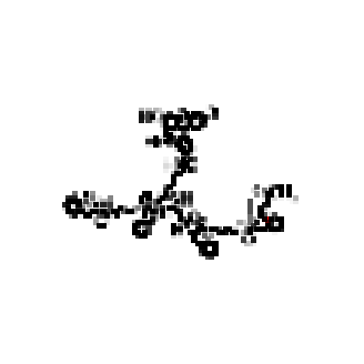 CNC(Cc1ccccc1)C(=O)OCCCCOC(=O)C(Cc1ccccc1)NC(=O)C(CCCCNC(=O)c1ccc(-c2c3ccc(=O)cc-3oc3cc(O)ccc23)c(C(=O)O)c1)NC(=O)CCC(=O)NC(Cc1ccccc1)C(=O)OCCCCOC(=O)C(Cc1ccccc1)NC(=O)CCC(C)=O